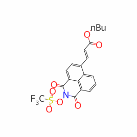 CCCCOC(=O)/C=C/c1ccc2c3c(cccc13)C(=O)N(OS(=O)(=O)C(F)(F)F)C2=O